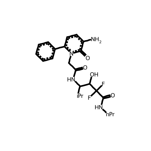 CCCNC(=O)C(F)(F)C(O)C(NC(=O)Cn1c(-c2ccccc2)ccc(N)c1=O)C(C)C